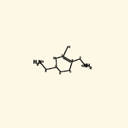 CC1=C(CN)CCC(CN)C1